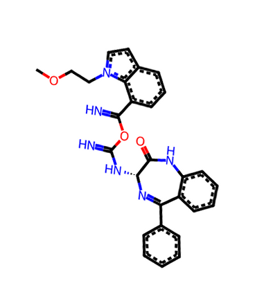 COCCn1ccc2cccc(C(=N)OC(=N)N[C@H]3N=C(c4ccccc4)c4ccccc4NC3=O)c21